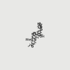 C=CC(=O)N1CCC(Oc2cc3c(Nc4ccc(Oc5ccc6nccn6n5)cc4C(C)(C)O)ncnc3cc2OC)CC1